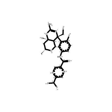 C[C@@H]1C[C@H]2OC(N)=N[C@](CF)(c3cc(NC(=O)c4cnc(C(F)F)cn4)ccc3F)C2CO1